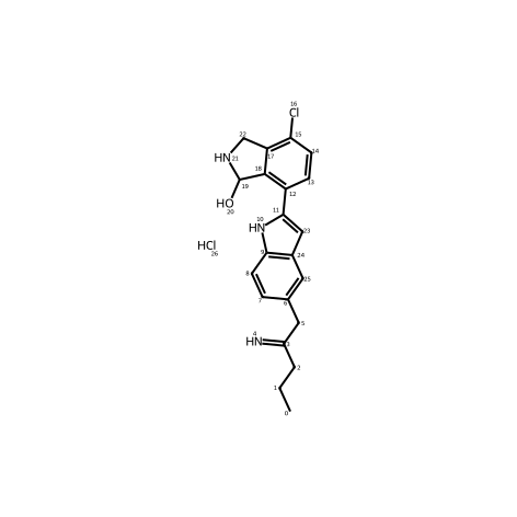 CCCC(=N)Cc1ccc2[nH]c(-c3ccc(Cl)c4c3C(O)NC4)cc2c1.Cl